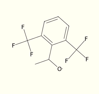 CC([O])c1c(C(F)(F)F)cccc1C(F)(F)F